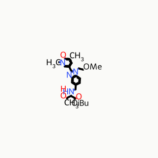 COCCn1c(-c2cc(C)c(=O)n(C)c2)nc2cc(CN[C@H](C(=O)OCC(C)C)C(C)O)ccc21